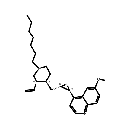 C=C[C@H]1CN(CCCCCCC)CC[C@H]1C[C@@H]1O[C@H]1c1ccnc2ccc(OC)cc12